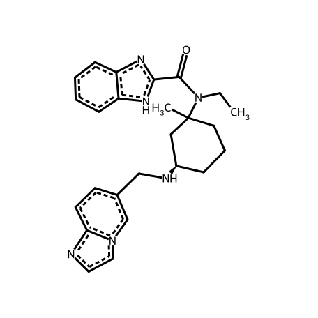 CCN(C(=O)c1nc2ccccc2[nH]1)C1(C)CCC[C@@H](NCc2ccc3nccn3c2)C1